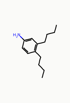 CCCCc1ccc(N)cc1CCCC